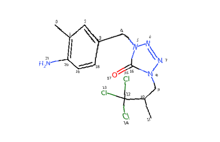 Cc1cc(Cn2nnn(CC(C)C(Cl)(Cl)Cl)c2=O)ccc1N